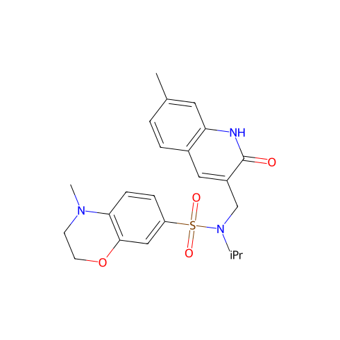 Cc1ccc2cc(CN(C(C)C)S(=O)(=O)c3ccc4c(c3)OCCN4C)c(=O)[nH]c2c1